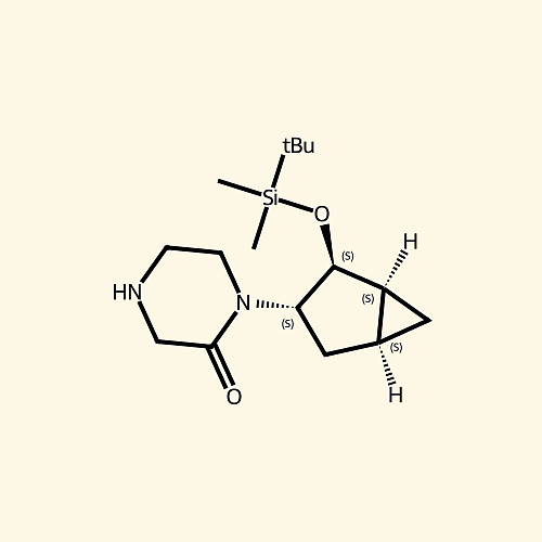 CC(C)(C)[Si](C)(C)O[C@H]1[C@H]2C[C@H]2C[C@@H]1N1CCNCC1=O